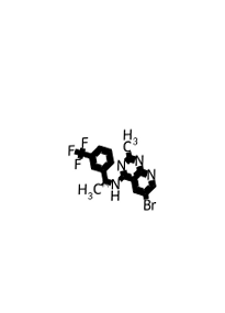 Cc1nc(N[C@H](C)c2cccc(C(F)(F)F)c2)c2cc(Br)cnc2n1